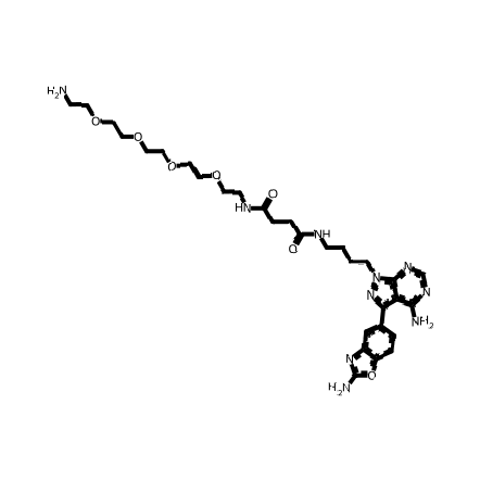 NCCOCCOCCOCCOCCNC(=O)CCC(=O)NCCCCn1nc(-c2ccc3oc(N)nc3c2)c2c(N)ncnc21